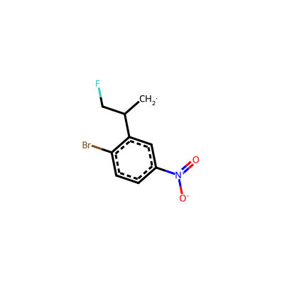 [CH2]C(CF)c1cc([N+](=O)[O-])ccc1Br